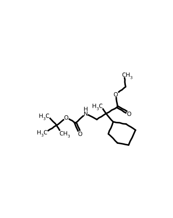 CCOC(=O)C(C)(CNC(=O)OC(C)(C)C)C1CCCCC1